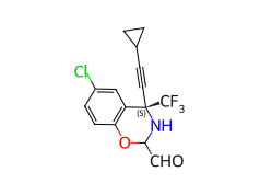 O=CC1N[C@](C#CC2CC2)(C(F)(F)F)c2cc(Cl)ccc2O1